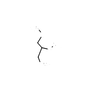 COCC(CO[N+](=O)[O-])O[N+](=O)[O-]